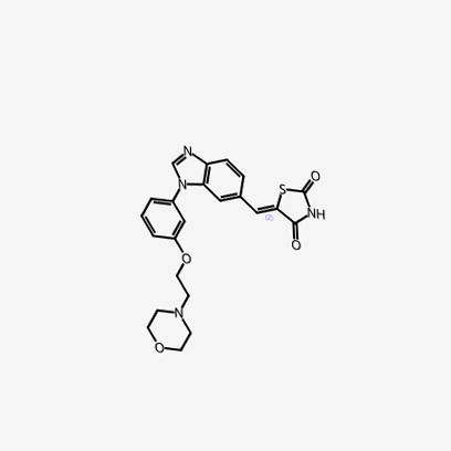 O=C1NC(=O)/C(=C/c2ccc3ncn(-c4cccc(OCCN5CCOCC5)c4)c3c2)S1